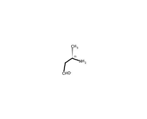 C[C@H](N)C[C]=O